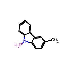 Cc1ccc2c(c1)c1ccccc1n2P